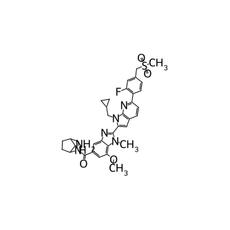 COc1cc(C(=O)N2CC3CCC2[C@@H]3N)cc2nc(-c3cc4ccc(-c5ccc(CS(C)(=O)=O)cc5F)nc4n3CC3CC3)n(C)c12